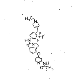 CCN1CCN(Cc2ccc(Nc3nc4ccc(Oc5ccnc(NC(C)=O)c5)c5c4n3CC5)cc2C(F)(F)F)CC1